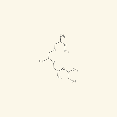 CC(COCC(C)OCC(C)OC(C)CO)OP